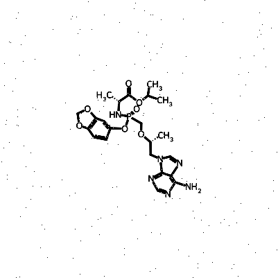 CC(C)OC(=O)[C@@H](C)NP(=O)(CO[C@H](C)Cn1cnc2c(N)ncnc21)Oc1ccc2c(c1)OCO2